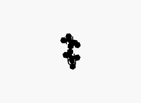 c1ccc(-c2nc3c(-c4ccccc4)nc(-n4c5ccccc5c5cc(-c6ccc7c(c6)c6c8ccccc8ccc6n7-c6nc(-c7ccccc7)c7ccccc7n6)ccc54)nc3o2)cc1